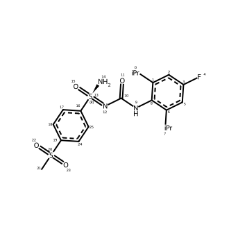 CC(C)c1cc(F)cc(C(C)C)c1NC(=O)N=[S@@](N)(=O)c1ccc(S(C)(=O)=O)cc1